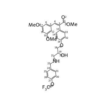 COC(=O)C(=Cc1cc(OC)cc(OC)c1)c1ccc(OCC(O)CNCc2ccc(OC(F)(F)F)cc2)cc1